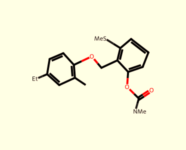 CCc1ccc(OCc2c(OC(=O)NC)cccc2SC)c(C)c1